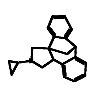 c1ccc2c(c1)C1CC3(CN(C4CC4)CC23)c2ccccc21